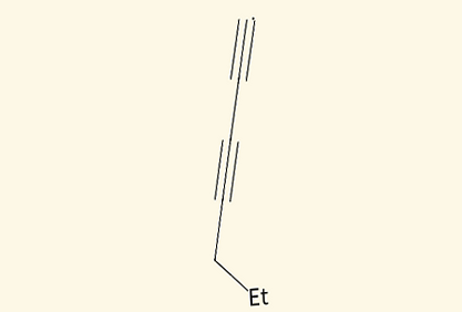 [C]#CC#CCCC